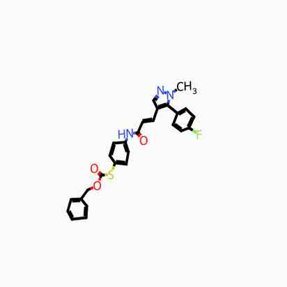 Cn1ncc(C=CC(=O)Nc2ccc(SC(=O)OCc3ccccc3)cc2)c1-c1ccc(F)cc1